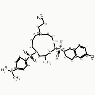 C[C@H]1CN(S(=O)(=O)c2ccc(N(C)C)cc2)CCCN(CCC(F)(F)F)CCCN(S(=O)(=O)N2CCc3cc(Cl)ccc3C2)C1